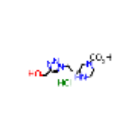 Cl.O=C(O)N1CCN[C@H](CCn2cc(CO)nn2)C1